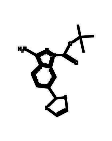 CC(C)(C)OC(=O)n1nc(N)c2ccc(C3SC=CS3)cc21